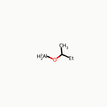 CCC(C)[O][2AlH2]